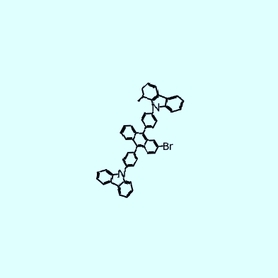 CC1CC=Cc2c1n(-c1ccc(-c3c4ccccc4c(-c4ccc(-n5c6ccccc6c6ccccc65)cc4)c4ccc(Br)cc34)cc1)c1ccccc21